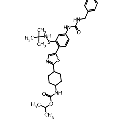 CC(C)OC(=O)NC1CCC(c2ncc(-c3ccc(NC(=O)NCc4ccccc4)cc3SNC(C)(C)C)s2)CC1